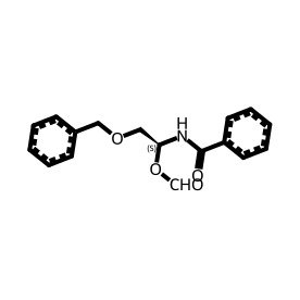 O=CO[C@@H](COCc1ccccc1)NC(=O)c1ccccc1